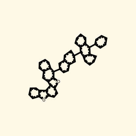 c1ccc(-c2c3ccccc3c(-c3ccc4cc(-c5c6ccccc6cc6c5oc5ccc7oc8ccccc8c7c56)ccc4c3)c3ccccc23)cc1